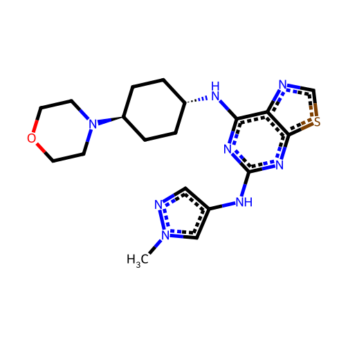 Cn1cc(Nc2nc(N[C@H]3CC[C@H](N4CCOCC4)CC3)c3ncsc3n2)cn1